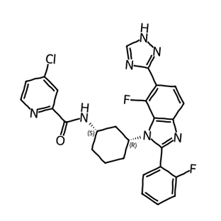 O=C(N[C@H]1CCC[C@@H](n2c(-c3ccccc3F)nc3ccc(-c4nc[nH]n4)c(F)c32)C1)c1cc(Cl)ccn1